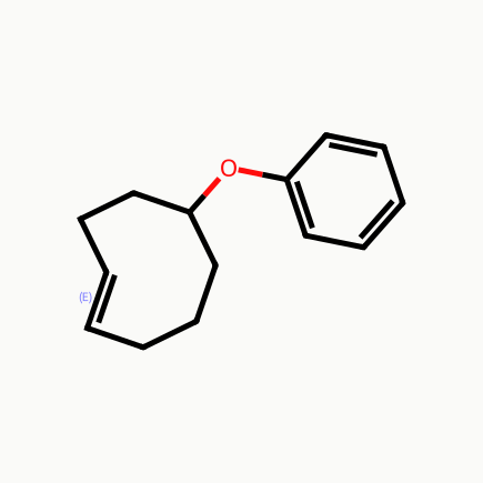 C1=C/CCC(Oc2ccccc2)CCC/1